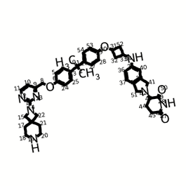 CC(C)(c1ccc(OCc2ccnc(N3CC4(CCNCC4)C3)n2)cc1)c1ccc(OC2CC(Nc3ccc4c(c3)CN(C3CCC(=O)NC3=O)C4)C2)cc1